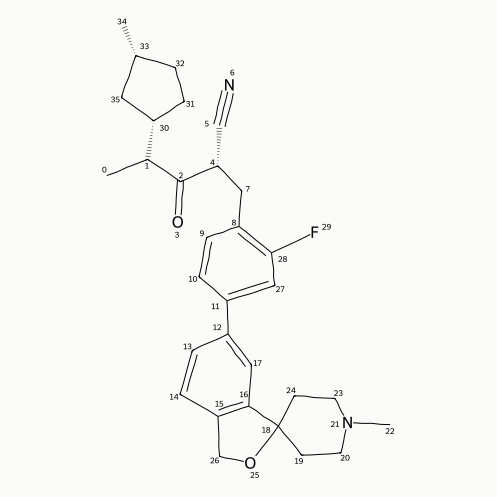 CC(C(=O)[C@H](C#N)Cc1ccc(-c2ccc3c(c2)C2(CCN(C)CC2)OC3)cc1F)[C@H]1CC[C@@H](C)C1